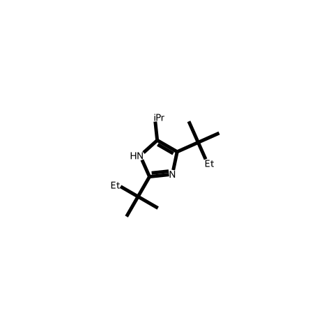 CCC(C)(C)c1nc(C(C)(C)CC)c(C(C)C)[nH]1